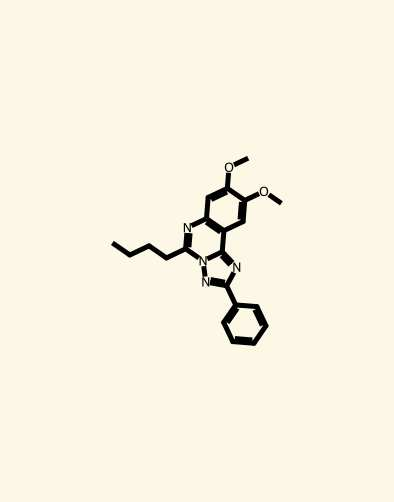 CCCCc1nc2cc(OC)c(OC)cc2c2nc(-c3ccccc3)nn12